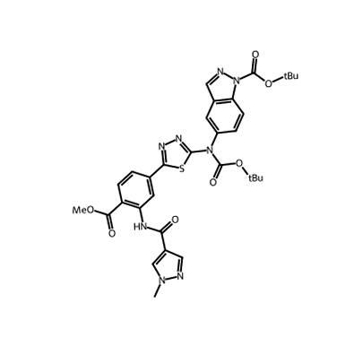 COC(=O)c1ccc(-c2nnc(N(C(=O)OC(C)(C)C)c3ccc4c(cnn4C(=O)OC(C)(C)C)c3)s2)cc1NC(=O)c1cnn(C)c1